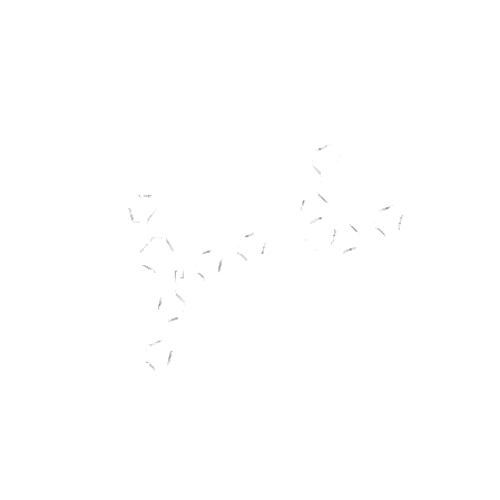 C1=CCCC(c2ccc(C(CCc3ccc(-c4ccc(N(c5ccc(-c6ccccc6)cc5)C5C=CC=C(c6ccccc6)C=C5)cc4)cc3)Cc3ccc(-c4ccccc4)cc3)cc2)=C1